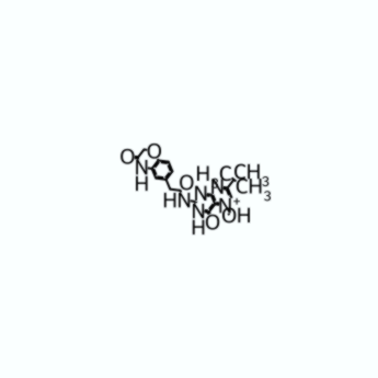 CC(C)(C)c1c[n+](O)c2c(=O)[nH]c(NC(=O)Cc3ccc4c(c3)NC(=O)CO4)nc2n1